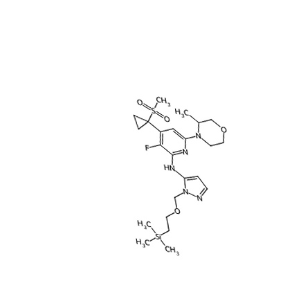 CC1COCCN1c1cc(C2(S(C)(=O)=O)CC2)c(F)c(Nc2ccnn2COCC[Si](C)(C)C)n1